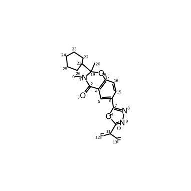 CN1C(=O)c2cc(-c3nnc(C(F)F)o3)ccc2OC1(C)C1CCCCC1